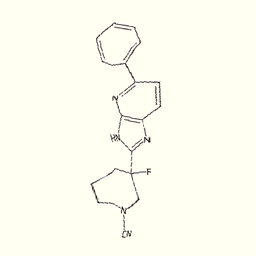 N#CN1CCCC(F)(c2nc3ccc(-c4ccccc4)nc3[nH]2)C1